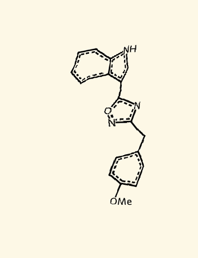 COc1ccc(Cc2noc(-c3c[nH]c4ccccc34)n2)cc1